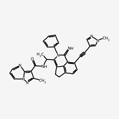 Cc1nn2cccnc2c1C(=O)NC(C)c1c2c3c(ccc(C#Cc4cnn(C)c4)c3c(=N)n1-c1ccccc1)CC2